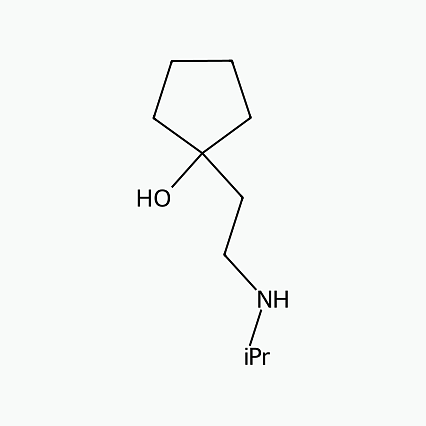 CC(C)NCCC1(O)CCCC1